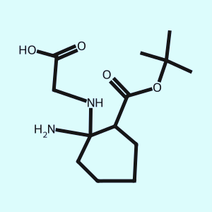 CC(C)(C)OC(=O)C1CCCCC1(N)NCC(=O)O